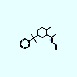 C=C/C=C(\C)C1CC(C(C)(C)c2ccccc2)CCC1C